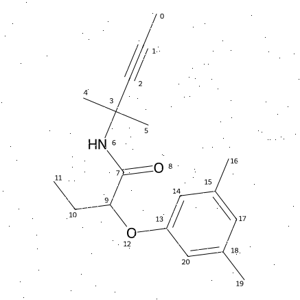 CC#CC(C)(C)NC(=O)C(CC)Oc1cc(C)cc(C)c1